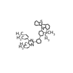 C=C/C=C\C(=C/C)c1nc(-c2cccc(-c3ccc4c(c3)C(C)(C)c3cccc5c6sc7ccccc7c6n-4c35)c2)nc(/C=C\C)c1C